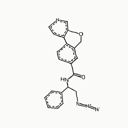 [N-]=[N+]=NCC(NC(=O)c1ccc2c(c1)COc1cnccc1-2)c1ccccc1